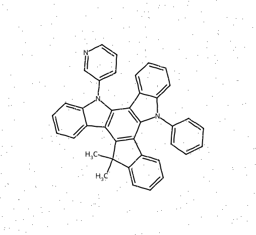 CC1(C)c2ccccc2-c2c1c1c3ccccc3n(-c3cccnc3)c1c1c3ccccc3n(-c3ccccc3)c21